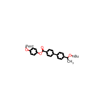 CCCCOC(C)c1ccc(-c2ccc(C(=O)Oc3ccc(OC(C)CCC)cc3)cc2)cc1